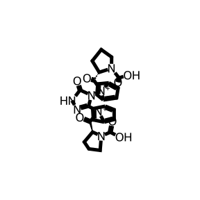 O=C(O)N1CCC[C@H]1C(=O)[N+]1(c2n[nH]c(=O)n2[N+]2(C(=O)[C@@H]3CCCN3C(=O)O)C3=CC=C2C=C3)C2=CC=C1C=C2